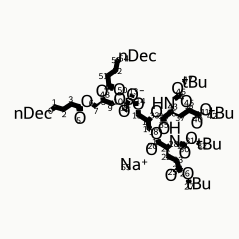 CCCCCCCCCCCCCC(=O)OC[C@H](COP(=O)([O-])OCC(COC(=O)[C@H](CCC(=O)OC(C)(C)C)NC(=O)OC(C)(C)C)OC(=O)[C@H](CCC(=O)OC(C)(C)C)NC(=O)OC(C)(C)C)OC(=O)CCCCCCCCCCCCC.[Na+]